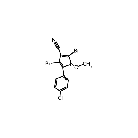 COn1c(Br)c(C#N)c(Br)c1-c1ccc(Cl)cc1